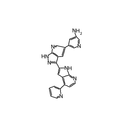 Nc1cncc(-c2cnc3[nH]nc(-c4cc5c(-c6ccccn6)ccnc5[nH]4)c3c2)c1